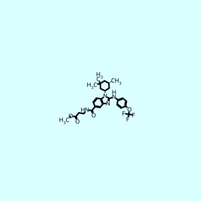 COC(=O)CCNC(=O)c1ccc2c(c1)nc(Nc1ccc(OC(F)(F)F)cc1)n2[C@H]1C[C@@H](C)CC(C)(C)C1